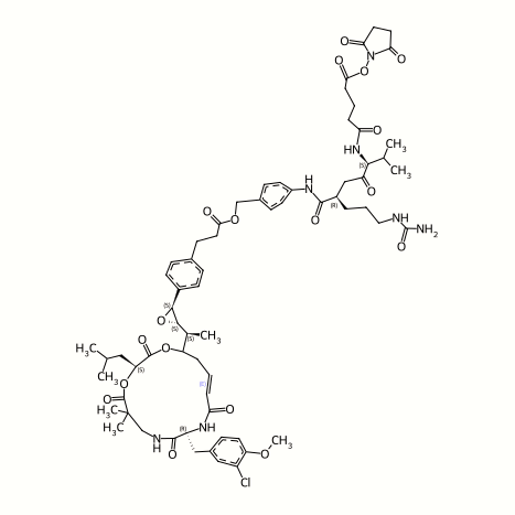 COc1ccc(C[C@H]2NC(=O)/C=C/CC([C@H](C)[C@@H]3O[C@H]3c3ccc(CCC(=O)OCc4ccc(NC(=O)[C@H](CCCNC(N)=O)CC(=O)[C@@H](NC(=O)CCCC(=O)ON5C(=O)CCC5=O)C(C)C)cc4)cc3)OC(=O)[C@H](CC(C)C)OC(=O)C(C)(C)CNC2=O)cc1Cl